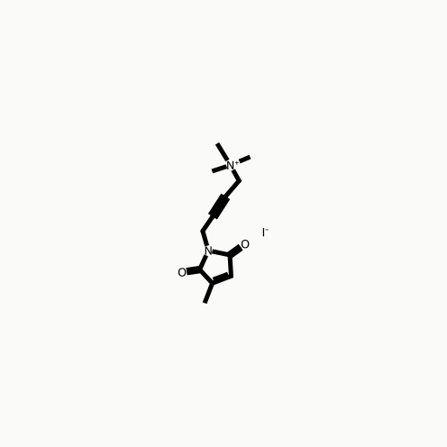 CC1=CC(=O)N(CC#CC[N+](C)(C)C)C1=O.[I-]